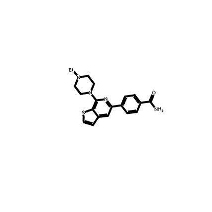 CCN1CCN(c2nc(-c3ccc(C(N)=O)cc3)cc3ccsc23)CC1